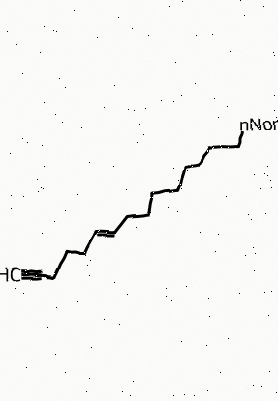 C#CCCCC=CCCCCCCCCCCCCCCCCC